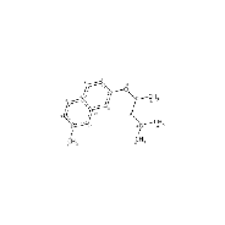 Cc1ccc2ccc(OC(C)CN(C)C)cc2c1